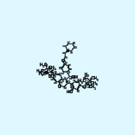 CC(C)(C)[Si](C)(C)Oc1ccc(C2=C(C(O)c3ccc(OCCN4CCCCC4)cc3)c3ccc(O[Si](C)(C)C(C)(C)C)cc3OC2)c(O)c1